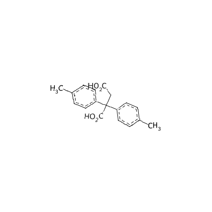 Cc1ccc(C(CC(=O)O)(C(=O)O)c2ccc(C)cc2)cc1